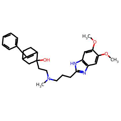 COc1cc2nc(CCCN(C)CCC3(O)CC4CCC3C=C4c3ccccc3)[nH]c2cc1OC